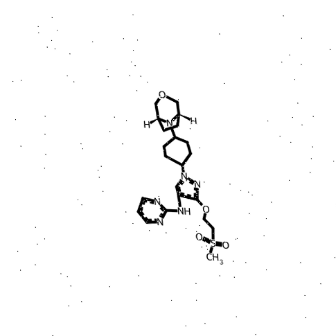 CS(=O)(=O)CCOc1nn(C2CCC(N3[C@@H]4CC[C@H]3COC4)CC2)cc1Nc1ncccn1